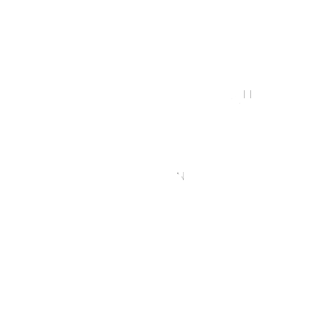 CC(c1ccccc1)[n+]1cccc(C(=O)O)c1